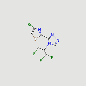 FCC(C(F)F)n1cnnc1-c1nc(Br)cs1